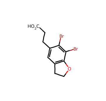 O=C(O)CCc1cc2c(c(Br)c1Br)OCC2